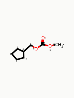 [CH2]OC(=O)OCC1CCCC1